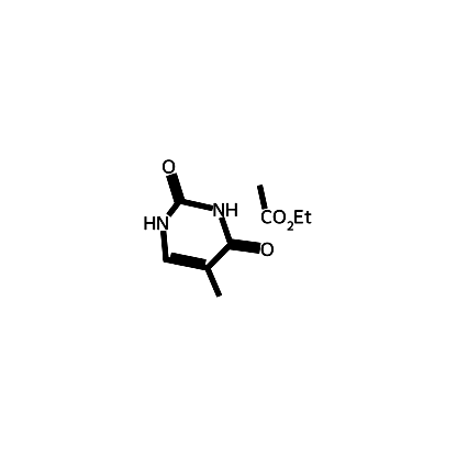 CCOC(C)=O.Cc1c[nH]c(=O)[nH]c1=O